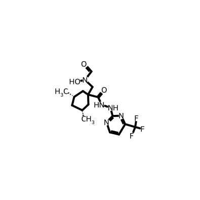 C[C@@H]1C[C@H](C)CC(CN(O)C=O)(C(=O)NNc2nccc(C(F)(F)F)n2)C1